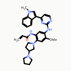 C=CC(=O)Nc1cc(Nc2nccc(-c3cn(C)c4ccccc34)n2)c(OC)cc1N1CCC(N2CCCC2)C1